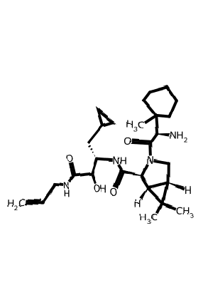 C=CCNC(=O)C(O)[C@H](CC1CC1)NC(=O)[C@@H]1[C@@H]2[C@H](CN1C(=O)[C@H](N)C1(C)CCCCC1)C2(C)C